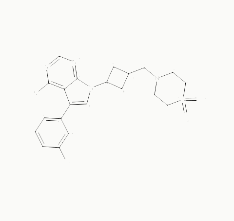 Nc1ncnc2c1c(-c1cccc(O)c1)cn2C1CC(CN2CCS(=O)(=O)CC2)C1